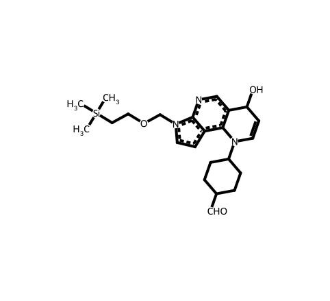 C[Si](C)(C)CCOCn1ccc2c3c(cnc21)C(O)C=CN3C1CCC(C=O)CC1